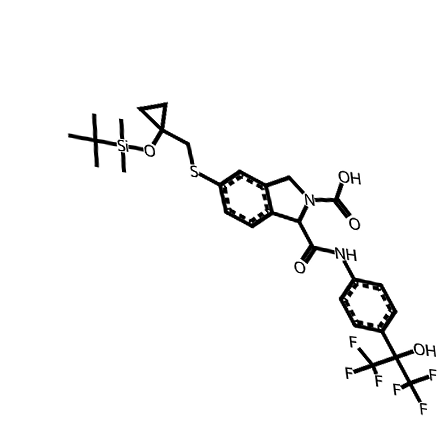 CC(C)(C)[Si](C)(C)OC1(CSc2ccc3c(c2)CN(C(=O)O)C3C(=O)Nc2ccc(C(O)(C(F)(F)F)C(F)(F)F)cc2)CC1